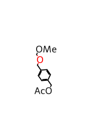 COCOCc1ccc(COC(C)=O)cc1